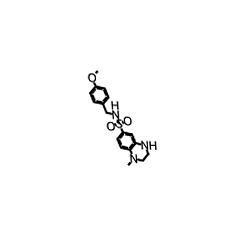 COc1ccc(CNS(=O)(=O)c2ccc3c(c2)NCCN3C)cc1